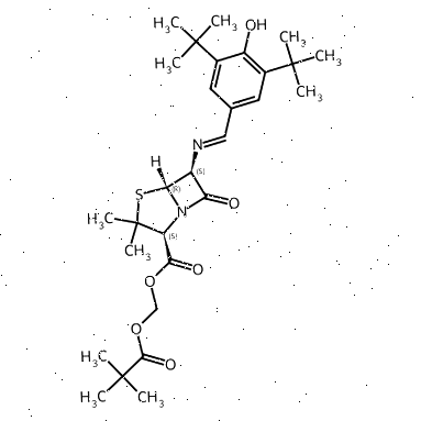 CC(C)(C)C(=O)OCOC(=O)[C@@H]1N2C(=O)[C@H](N=Cc3cc(C(C)(C)C)c(O)c(C(C)(C)C)c3)[C@H]2SC1(C)C